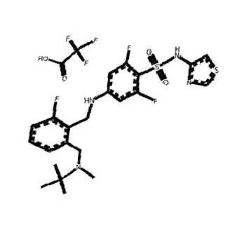 CN(Cc1cccc(F)c1CNc1cc(F)c(S(=O)(=O)Nc2cscn2)c(F)c1)C(C)(C)C.O=C(O)C(F)(F)F